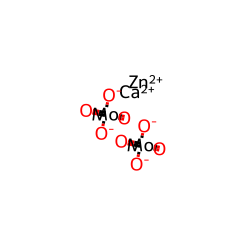 [Ca+2].[O]=[Mo](=[O])([O-])[O-].[O]=[Mo](=[O])([O-])[O-].[Zn+2]